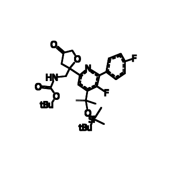 CC(C)(C)OC(=O)NCC1(c2cc(C(C)(C)O[Si](C)(C)C(C)(C)C)c(F)c(-c3ccc(F)cc3)n2)CC(=O)CO1